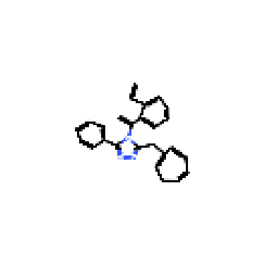 C=Cc1ccccc1C(=C)n1c(CC2=CCC=CC=C2)nnc1-c1ccccc1